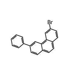 Brc1ccc2ccc3ccc(-c4ccccc4)cc3c2c1